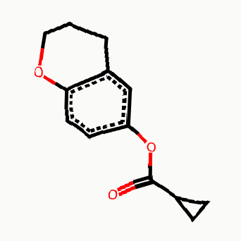 O=C(Oc1ccc2c(c1)CCCO2)C1CC1